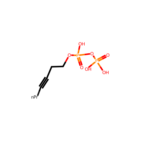 CCCC#CCCOP(=O)(O)OP(=O)(O)O